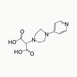 O=C(O)C(C(=O)O)N1CCN(c2ccncc2)CC1